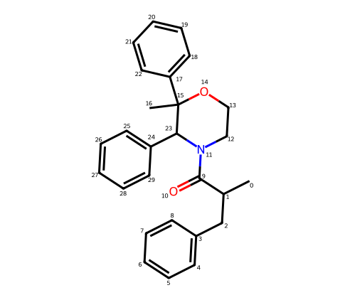 CC(Cc1ccccc1)C(=O)N1CCOC(C)(c2ccccc2)C1c1ccccc1